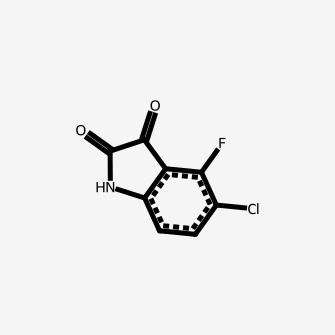 O=C1Nc2ccc(Cl)c(F)c2C1=O